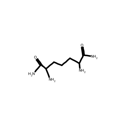 NC(=O)C(N)CCCC(N)C(N)=O